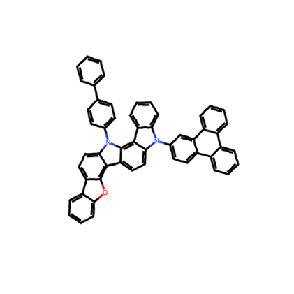 c1ccc(-c2ccc(-n3c4ccc5c6ccccc6oc5c4c4ccc5c(c6ccccc6n5-c5ccc6c7ccccc7c7ccccc7c6c5)c43)cc2)cc1